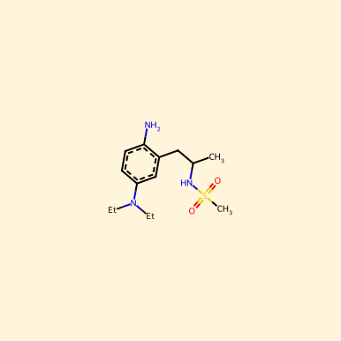 CCN(CC)c1ccc(N)c(CC(C)NS(C)(=O)=O)c1